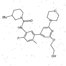 Cc1cc(F)c(NC(=O)N2CCCC(C(C)(C)C)C2)cc1-c1cc(OCCO)nc(N2CCOCC2)c1